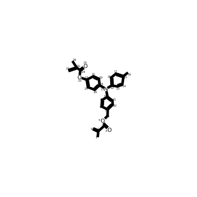 C=C(C)C(=O)OCc1ccc(N(c2ccc(C)cc2)c2ccc(OC(=O)C(=C)C)cc2)cc1